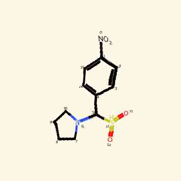 O=[N+]([O-])c1ccc(C(N2CCCC2)[SH](=O)=O)cc1